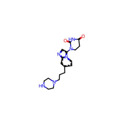 O=C1CCN(c2cnc3cc(CCCN4CCNCC4)ccn23)C(=O)N1